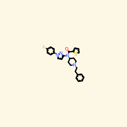 O=C(c1cccs1)N(c1ccn(-c2ccc(F)cc2)n1)C1CCN(CCc2ccccc2)CC1